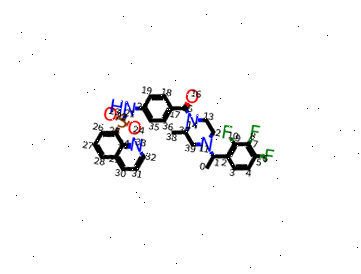 CC(c1ccc(F)c(F)c1F)N1CCN(C(=O)c2ccc(NS(=O)(=O)c3cccc4cccnc34)cc2)C(C)C1